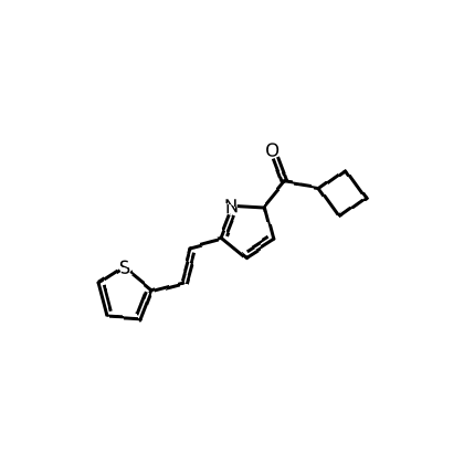 O=C(C1CCC1)C1C=CC(/C=C/c2cccs2)=N1